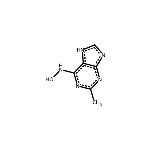 Cc1nc(NO)c2[nH]cnc2n1